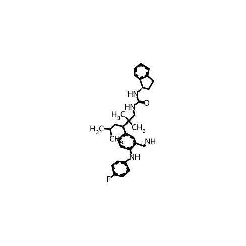 CC(C)CC(c1ccc(Nc2ccc(F)cc2)c(C=N)c1)C(C)(C)CNC(=O)N[C@@H]1CCc2ccccc21